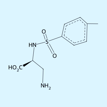 Cc1ccc(S(=O)(=O)N[C@@H](CN)C(=O)O)cc1